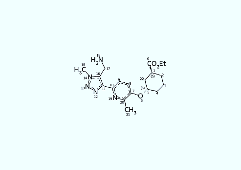 CCOC(=O)[C@H]1CCC[C@H](Oc2ccc(-c3nnn(C)c3CN)nc2C)C1